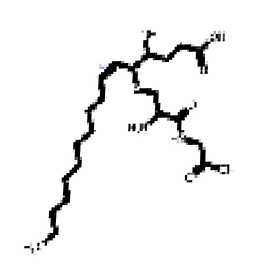 CCCCCCCCCC/C=C\C(SCC(N)C(=O)NCC(=O)O)C(O)CCC(=O)O